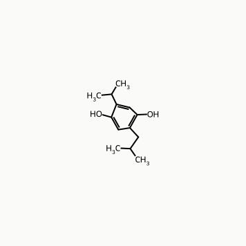 CC(C)Cc1cc(O)c(C(C)C)cc1O